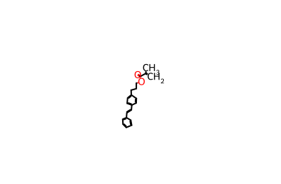 C=C(C)C(=O)OCCCc1ccc(C=Cc2ccccc2)cc1